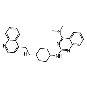 CN(C)c1nc(N[C@H]2CC[C@@H](NCc3ccnc4ccccc34)CC2)nc2ccccc12